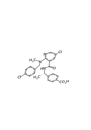 C[C@H](NC(=O)c1cc(Cl)cnc1N(C)Cc1ccc(Cl)cc1)c1ccc(C(=O)O)cc1